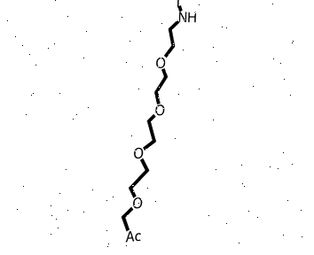 CC(=O)COCCOCCOCCOCCNI